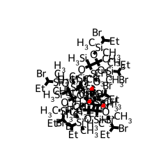 CCC(Br)[Si](C)(C)OC(C)(O[Si](C)(C)C(Br)CC)C([SiH3])(O[Si](C)(C)C(Br)CC)[Si](C)(C)O[Si](C)(O[Si](C)(C)C([SiH3])(O[Si](C)(C)C(Br)CC)C(C)(O[Si](C)(C)C(Br)CC)O[Si](C)(C)C(Br)CC)O[Si](C)(C)C([SiH3])(O[Si](C)(C)C(Br)CC)C(C)(O[Si](C)(C)C(Br)CC)O[Si](C)(C)C(Br)CC